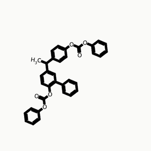 CC(c1ccc(OC(=O)Oc2ccccc2)cc1)c1ccc(OC(=O)Oc2ccccc2)c(-c2ccccc2)c1